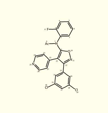 CC(=O)N(c1ccccc1F)c1onc(-c2cc(Cl)cc(Cl)c2)c1-c1ccncc1